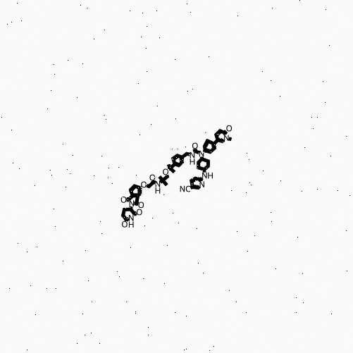 Cn1cc(-c2ccc(N(C(=O)NCc3ccc(C(C)(C)OCC(C)(C)NC(=O)COc4ccc5c(c4)C(=O)N(C4CCC(=O)NC4=O)C5=O)cc3)C3CCC(Nc4ccc(C#N)cn4)CC3)cc2)ccc1=O